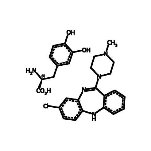 CN1CCN(C2=Nc3cc(Cl)ccc3Nc3ccccc32)CC1.N[C@@H](Cc1ccc(O)c(O)c1)C(=O)O